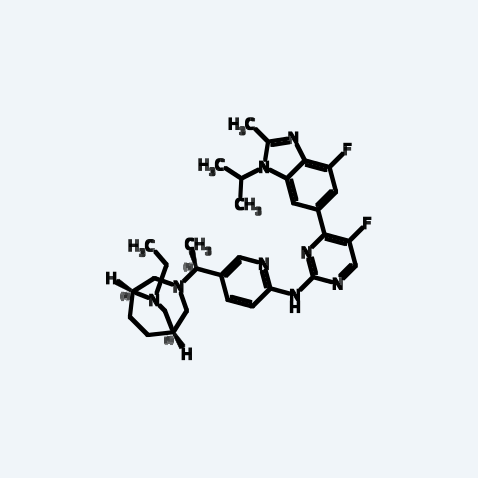 CCN1C[C@H]2CC[C@@H]1CN([C@@H](C)c1ccc(Nc3ncc(F)c(-c4cc(F)c5nc(C)n(C(C)C)c5c4)n3)nc1)C2